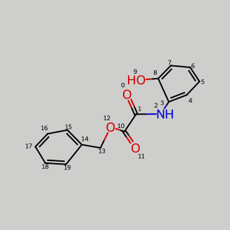 O=C(Nc1ccccc1O)C(=O)OCc1ccccc1